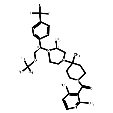 [2H]C([2H])([2H])OC[C@@H](c1ccc(C(F)(F)F)cc1)N1CCN(C2(C)CCN(C(=O)c3c(C)ccnc3C)CC2)C[C@@H]1C